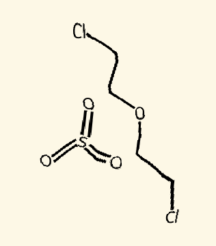 ClCCOCCCl.O=S(=O)=O